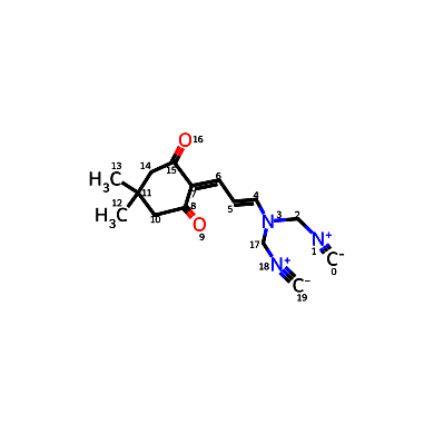 [C-]#[N+]CN(/C=C/C=C1C(=O)CC(C)(C)CC1=O)C[N+]#[C-]